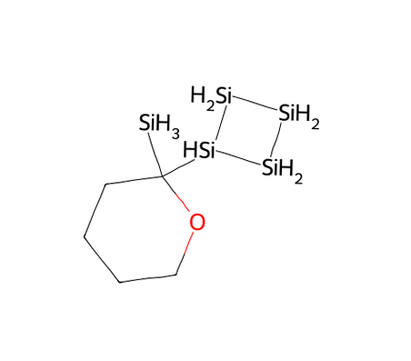 [SiH3]C1([SiH]2[SiH2][SiH2][SiH2]2)CCCCO1